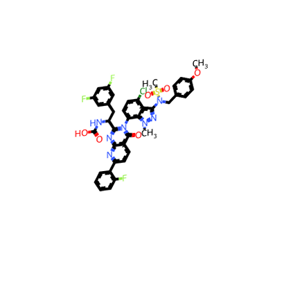 COc1ccc(CN(c2nn(C)c3c(-n4c(C(Cc5cc(F)cc(F)c5)NC(=O)O)nc5nc(-c6ccccc6F)ccc5c4=O)ccc(Cl)c23)S(C)(=O)=O)cc1